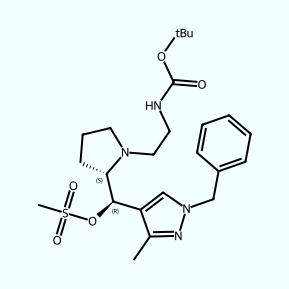 Cc1nn(Cc2ccccc2)cc1[C@@H](OS(C)(=O)=O)[C@@H]1CCCN1CCNC(=O)OC(C)(C)C